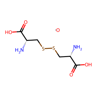 N[C@@H](CSSC[C@H](N)C(=O)O)C(=O)O.[O]